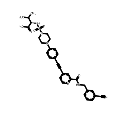 CC(C)[C@@H](NS(=O)(=O)N1CCN(c2ccc(C#Cc3ccnc(C(=O)NCc4cccc(C#N)c4)c3)cc2)CC1)C(=O)O